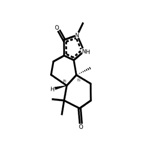 Cn1[nH]c2c(c1=O)CC[C@H]1C(C)(C)C(=O)CC[C@]21C